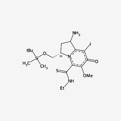 CCNC(=S)c1c(OC)c(=O)c(I)c2n1[C@H](CO[Si](C)(C)C(C)(C)C)CC2N